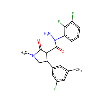 Cc1cc(F)cc(C2CN(C)C(=O)C2C(=O)N(N)c2cccc(F)c2F)c1